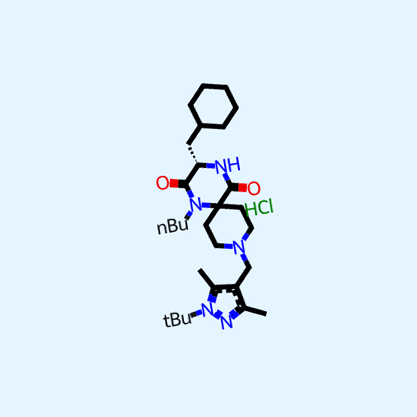 CCCCN1C(=O)[C@H](CC2CCCCC2)NC(=O)C12CCN(Cc1c(C)nn(C(C)(C)C)c1C)CC2.Cl